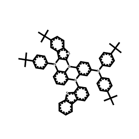 CC(C)(C)c1ccc(N(c2ccc(C(C)(C)C)cc2)c2ccc3c(c2)N(c2cccc4c2sc2ccccc24)c2cccc4c2B3c2sc3ccc(C(C)(C)C)cc3c2N4c2ccc(C(C)(C)C)cc2)cc1